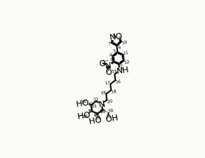 O=[N+]([O-])c1cc(-c2cnoc2)ccc1NCCCCCCN1C[C@H](O)[C@@H](O)[C@H](O)[C@H]1CO